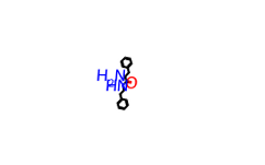 NC(Cc1ccccc1)C(=O)NCCc1ccccc1